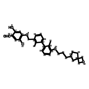 Cc1c(COc2cc(O)c(C=O)cc2Cl)cccc1-c1cccc(OCCCN2CCC3(COC3)C2)c1C